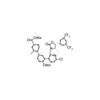 COC(=O)c1ccc(-c2ccc(OC)c(-c3ccc(Cl)nc3CN3C(=O)O[C@H](c4cc(C(F)(F)F)cc(C(F)(F)F)c4)[C@@H]3C)c2)c(C)c1